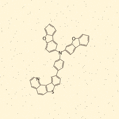 c1cnc2c(c1)ccc1sc3ccc(-c4ccc(N(c5ccc6c(c5)oc5ccccc56)c5ccc6oc7ccccc7c6c5)cc4)cc3c12